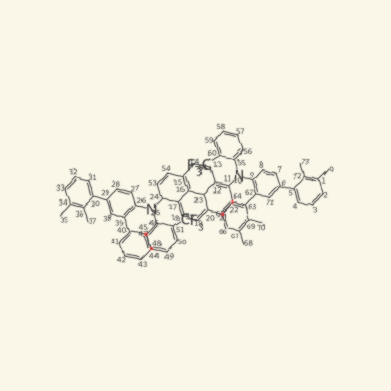 Cc1cccc(-c2ccc(N(C3=C4C=CC5=C6C(=CC=C(C=C3)C46)C(N(c3ccc(-c4cccc(C)c4C)cc3-c3ccccc3)c3ccccc3C(F)(F)F)C=C5)c3ccccc3C(F)(F)F)c(-c3cccc(C)c3C)c2)c1C